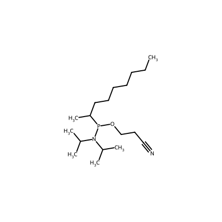 CCCCCCCC(C)P(OCCC#N)N(C(C)C)C(C)C